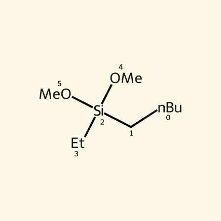 CCCCC[Si](CC)(OC)OC